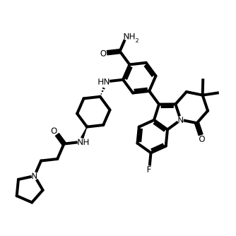 CC1(C)CC(=O)n2c(c(-c3ccc(C(N)=O)c(N[C@H]4CC[C@H](NC(=O)CCN5CCCC5)CC4)c3)c3ccc(F)cc32)C1